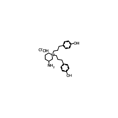 Cl.NC1CCC[N+](CCCc2ccc(O)cc2)(CCCc2ccc(O)cc2)C1.[Cl-]